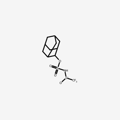 O=S(=O)(N[S+]([O-])C(F)(F)F)OC1C2CC3CC(C2)CC1C3